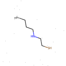 CCCCCCNCCS